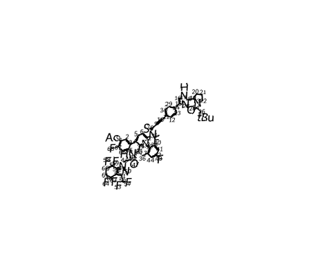 CC(=O)c1cc(-c2cc3sc(C#Cc4ccc(-c5c[nH]c(C6CCCN6C(=O)CC(C)(C)C)n5)cc4)nc3nc2[C@H](Cc2cc(F)cc(F)c2)NC(=O)Cn2nc(C(F)F)c3c2C(F)(F)CCC3(F)F)ccc1F